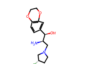 N[C@H](CN1CC[C@H](F)C1)[C@H](O)c1ccc2c(c1)OCCO2